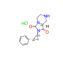 Cl.O=C1[C@@H]2CNCCN2C(=O)N1[C@H]1C[C@@H]1c1ccccc1